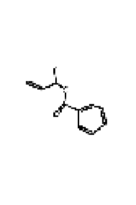 [CH2]C(C=C)OC(=O)c1ccccc1